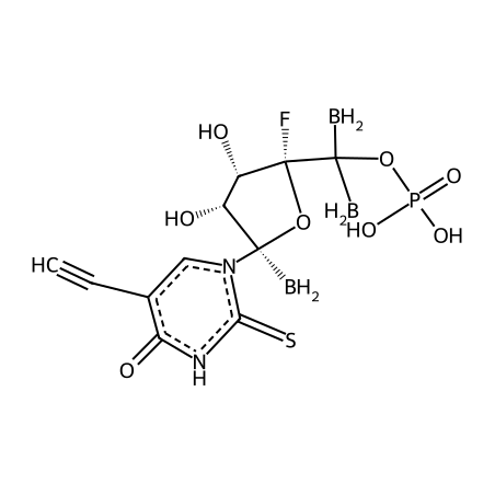 BC(B)(OP(=O)(O)O)[C@@]1(F)O[C@@](B)(n2cc(C#C)c(=O)[nH]c2=S)[C@H](O)[C@@H]1O